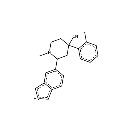 Cc1ccccc1C1(C#N)CCN(C)C(c2ccc3c[nH]cc3c2)C1